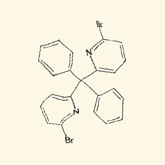 Brc1cccc(C(c2ccccc2)(c2ccccc2)c2cccc(Br)n2)n1